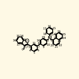 Cc1c(-c2cccc(-c3ccc(N(c4ccccc4)c4cccc5ccccc45)cc3)c2)oc2ccccc12